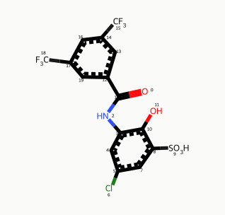 O=C(Nc1cc(Cl)cc(S(=O)(=O)O)c1O)c1cc(C(F)(F)F)cc(C(F)(F)F)c1